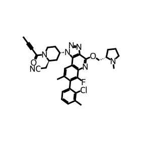 CC#CC(=O)N1CC[C@H](n2nnc3c(OC[C@@H]4CCCN4C)nc4c(F)c(-c5cccc(C)c5Cl)c(C)cc4c32)C[C@H]1CC#N